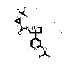 O=C(NCC1(c2ccnc(OC(F)F)c2)CCO1)[C@H]1C[C@@H]1C(F)(F)F